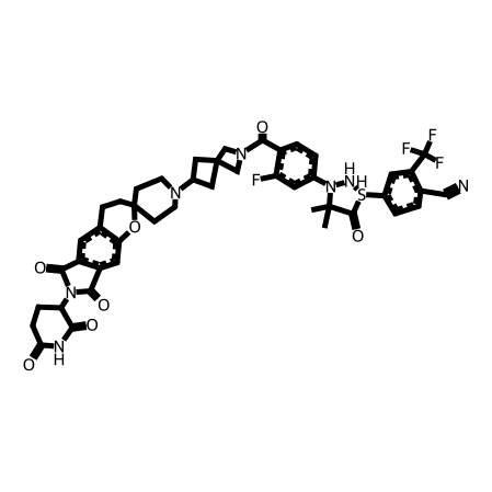 CC1(C)C(=O)[SH](c2ccc(C#N)c(C(F)(F)F)c2)NN1c1ccc(C(=O)N2CC3(CC(N4CCC5(CCc6cc7c(cc6O5)C(=O)N(C5CCC(=O)NC5=O)C7=O)CC4)C3)C2)c(F)c1